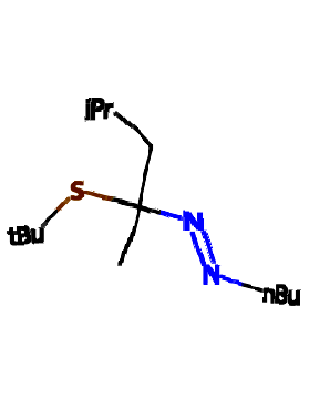 CCCCN=NC(C)(CC(C)C)SC(C)(C)C